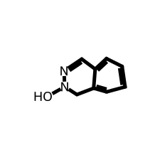 ON1Cc2ccccc2C=N1